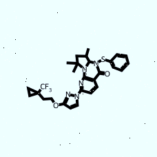 CC1CC(C)(C)N2c3nc(-n4ccc(OCCC5(C(F)(F)F)CC5)n4)ccc3C(=O)N(Sc3ccccc3)C12